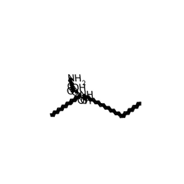 CCCCCCCC/C=C\CCCCCCCCCCCCCC(=O)N[C@@H](COP(=O)(O)OCCN)[C@H](O)/C=C/C=C/CCCCCCCCC